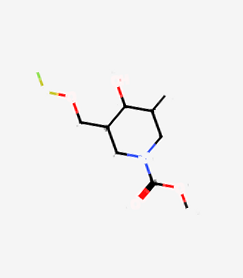 CCOC(=O)C1CN(C(=O)OC(C)(C)C)CC(COSF)C1O